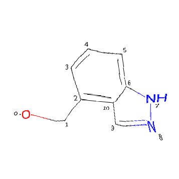 [O]Cc1cccc2[nH]ncc12